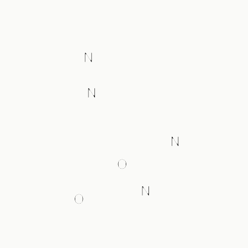 CC[N+]1(C2CCOCC2)N=CC=C1c1nc(C)no1